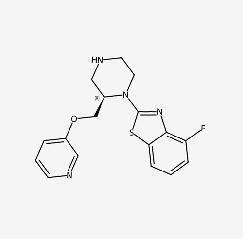 Fc1cccc2sc(N3CCNC[C@@H]3COc3cccnc3)nc12